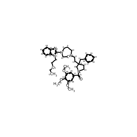 CCOCCn1c(N2CCCN(CCC3(Cc4ccccc4)CCN(C(=O)c4cc(OC)c(OC)c(OC)c4)C3)CC2)nc2ccccc21